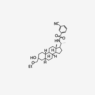 CCOC[C@@]1(O)CC[C@H]2[C@H](CC[C@@H]3[C@@H]2CC[C@]2(C)C([C@@H](C)NS(=O)(=O)c4cccc(C#N)c4)CC[C@@H]32)C1